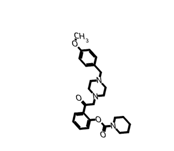 COc1ccc(CN2CCN(CC(=O)c3ccccc3OC(=O)N3CCCCC3)CC2)cc1